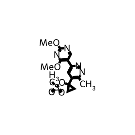 COc1ncc(-c2cc(C3(OS(C)(=O)=O)CC3)c(C)nn2)c(OC)n1